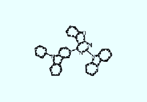 c1ccc(-n2c3ccccc3c3cc(-c4nc(-n5c6ccccc6c6ccccc65)nc5oc6ccccc6c45)ccc32)cc1